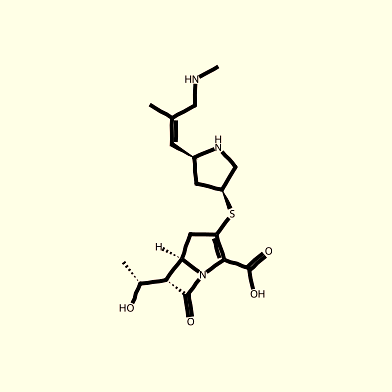 CNC/C(C)=C\[C@@H]1C[C@H](SC2=C(C(=O)O)N3C(=O)[C@H]([C@@H](C)O)[C@H]3C2)CN1